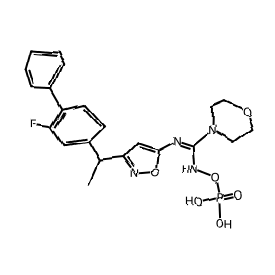 CC(c1ccc(-c2ccccc2)c(F)c1)c1cc(N=C(NOP(=O)(O)O)N2CCOCC2)on1